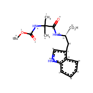 CC(C)(C)OC(=O)NC(C)(C)C(=O)N[C@@H](Cc1c[nH]c2ccccc12)C(=O)O